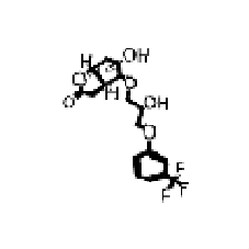 O=C1C[C@@H]2C(OCC(O)COc3cccc(C(F)(F)F)c3)[C@@H](O)C[C@@H]2O1